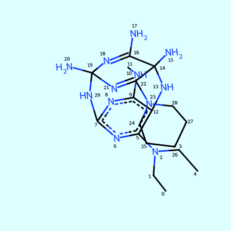 CCN(CC)c1nc2nc(NC)c1NC1(N)C(N)=NC(N)(N=C1N1CCCCC1)N2